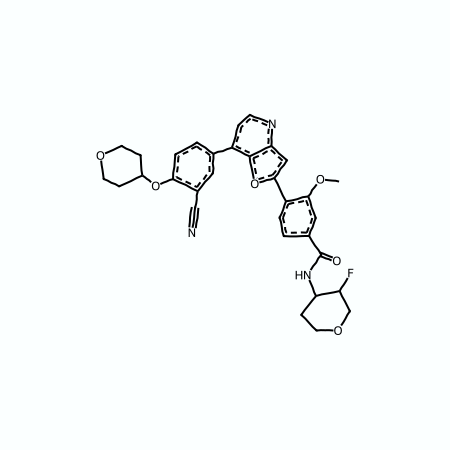 COc1cc(C(=O)NC2CCOCC2F)ccc1-c1cc2nccc(-c3ccc(OC4CCOCC4)c(C#N)c3)c2o1